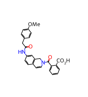 COc1ccc(CC(=O)Nc2ccc3c(c2)CN(C(=O)c2ccccc2C(=O)O)C=C3)cc1